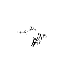 CCC1CC(CC)N1CCc1c[nH]c2ccc(OC)cc12